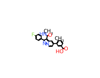 CNC(=O)c1c(-c2ccc(F)cc2)nn2ccc(-c3cc(C(=O)O)ccc3C)cc12